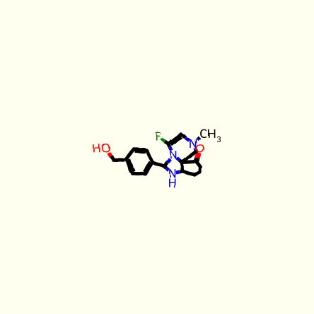 CN1C=C(F)N2C(c3ccc(CO)cc3)NC3CCCC(=O)C32C1